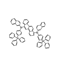 c1ccc([Si](c2ccccc2)(c2ccccc2)c2ccc(N(c3ccc4ccccc4c3)c3cc4c5cccc(N(c6ccc([Si](c7ccccc7)(c7ccccc7)c7ccccc7)cc6)c6ccc7ccccc7c6)c5ccc4c4ccccc34)cc2)cc1